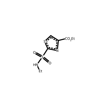 CCNS(=O)(=O)c1nc(C(=O)OCC)cs1